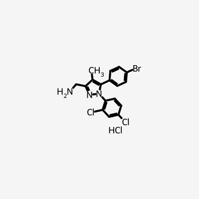 Cc1c(CN)nn(-c2ccc(Cl)cc2Cl)c1-c1ccc(Br)cc1.Cl